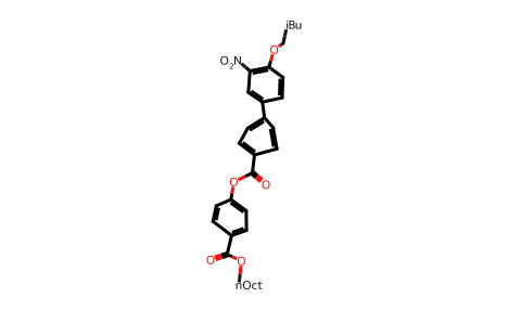 CCCCCCCCOC(=O)c1ccc(OC(=O)c2ccc(-c3ccc(OCC(C)CC)c([N+](=O)[O-])c3)cc2)cc1